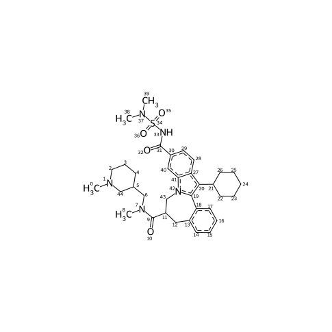 CN1CCCC(CN(C)C(=O)C2Cc3ccccc3-c3c(C4CCCCC4)c4ccc(C(=O)NS(=O)(=O)N(C)C)cc4n3C2)C1